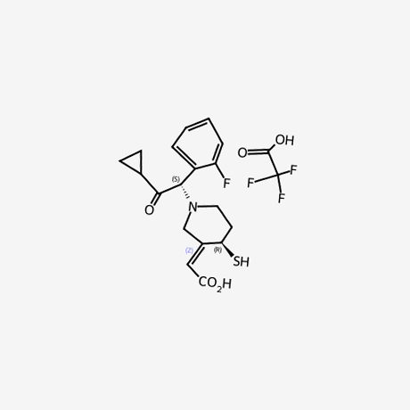 O=C(O)/C=C1/CN([C@H](C(=O)C2CC2)c2ccccc2F)CC[C@H]1S.O=C(O)C(F)(F)F